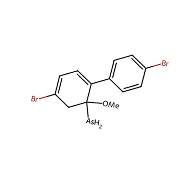 COC1([AsH2])CC(Br)=CC=C1c1ccc(Br)cc1